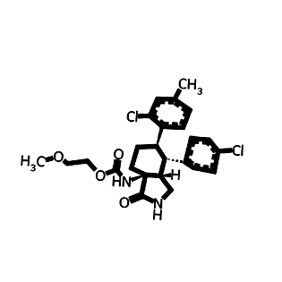 COCCOC(=O)N[C@@]12CC[C@@H](c3ccc(C)cc3Cl)[C@H](c3ccc(Cl)cc3)[C@@H]1CNC2=O